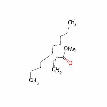 C=CC(=O)OC.CCCCCCCCCC